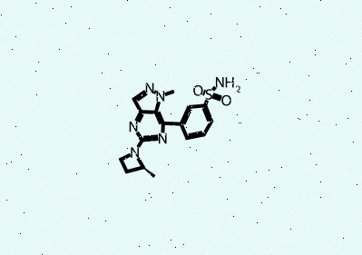 C[C@H]1CCN1c1nc(-c2cccc(S(N)(=O)=O)c2)c2c(cnn2C)n1